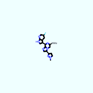 CNc1cn2c(-c3ccn(C)n3)cnc2c(-c2c[nH]c3ncc(F)cc23)n1